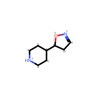 C1=NOC(C2CCNCC2)C1